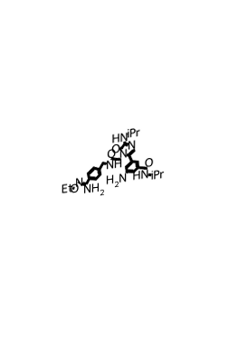 CCO/N=C(\N)c1ccc(CNC(=O)Cn2c(-c3cc(N)cc(C(=O)NC(C)C)c3)cnc(NC(C)C)c2=O)cc1